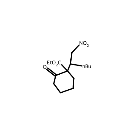 CCCCC(C[N+](=O)[O-])C1(C(=O)OCC)CCCCC1=O